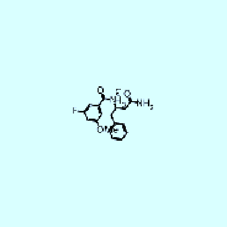 COc1cc(F)cc(C(=O)N(C)C(CC(N)=O)Cc2ccccc2)c1